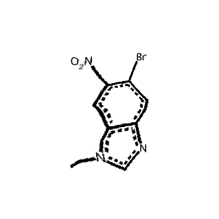 Cn1cnc2cc(Br)c([N+](=O)[O-])cc21